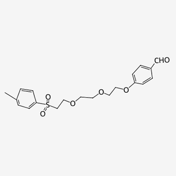 Cc1ccc(S(=O)(=O)CCOCCOCCOc2ccc(C=O)cc2)cc1